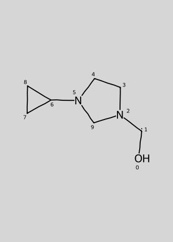 O[CH]N1CCN(C2CC2)C1